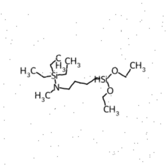 CCO[SiH](CCCCN(C)[Si](CC)(CC)CC)OCC